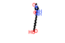 CC(=O)N1CCC(NC(=O)NCCCCCCCCCCCC(=O)O)CC1